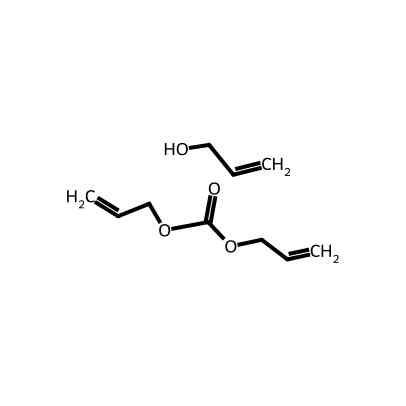 C=CCO.C=CCOC(=O)OCC=C